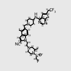 Cc1c(CN2CCC(Nc3ncnc4sc(CC(F)(F)F)cc34)CC2)ccc2c1cc(C#N)n2CCN1CCN([S+]([O-])CF)C(C)C1